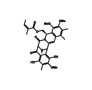 C/C=C(/C)C(=O)OC[C@H]1c2c(c(C)c(C)c(OC)c2OC)C=C2C3c4c(O)c(OC)c(C)c(O)c4C(=O)C(C(=O)N21)N3C